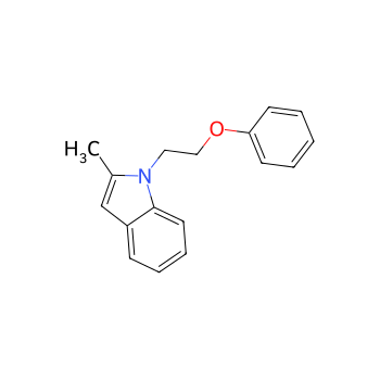 Cc1cc2ccccc2n1CCOc1ccccc1